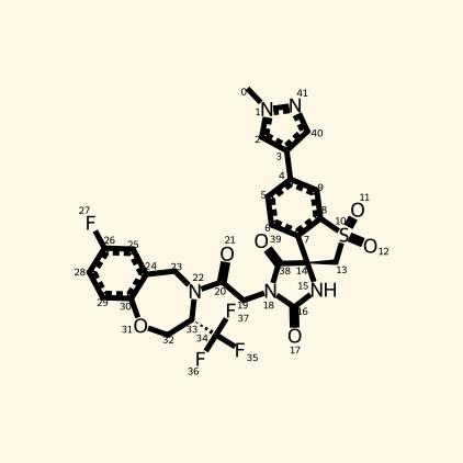 Cn1cc(-c2ccc3c(c2)S(=O)(=O)C[C@]32NC(=O)N(CC(=O)N3Cc4cc(F)ccc4OC[C@H]3C(F)(F)F)C2=O)cn1